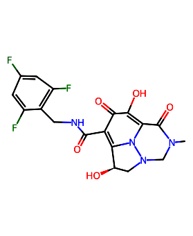 CN1CN2C[C@@H](O)c3c(C(=O)NCc4c(F)cc(F)cc4F)c(=O)c(O)c(n32)C1=O